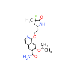 CC(C)Oc1cc2c(OCC[C@@H]3C[C@@](C)(F)C(=O)N3)nccc2cc1C(N)=O